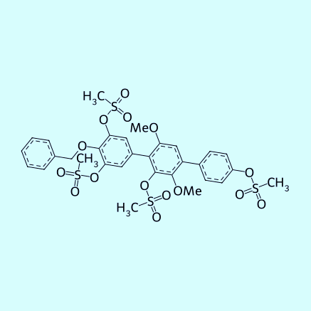 COc1cc(-c2ccc(OS(C)(=O)=O)cc2)c(OC)c(OS(C)(=O)=O)c1-c1cc(OS(C)(=O)=O)c(OCc2ccccc2)c(OS(C)(=O)=O)c1